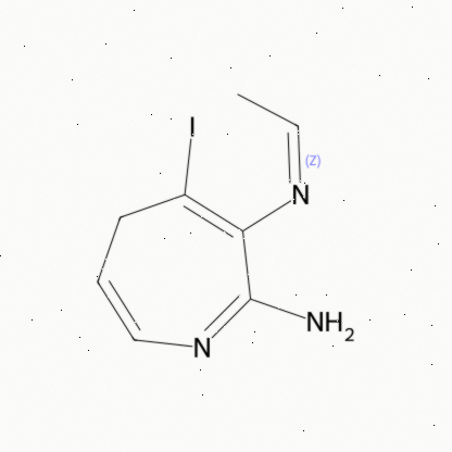 C/C=N\C1=C(I)CC=CN=C1N